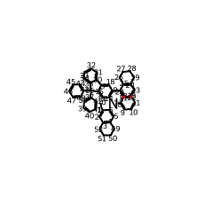 Cc1cc2c(cc1N(c1ccccc1)c1cc3c(cc1-c1cccc4c1CCCC4)-c1ccccc1C3(c1ccccc1)c1ccccc1)CCCC2